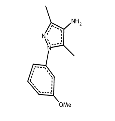 COc1cccc(-n2nc(C)c(N)c2C)c1